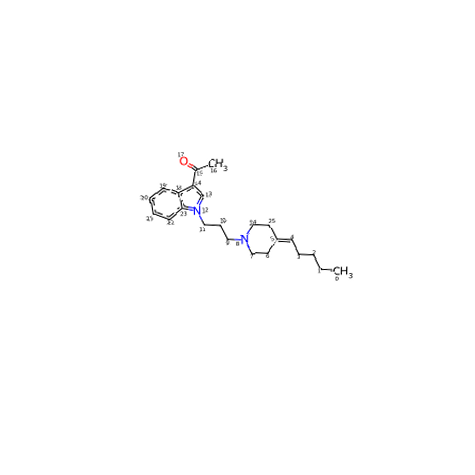 CCCCC=C1CCN(CCCn2cc(C(C)=O)c3ccccc32)CC1